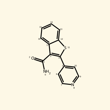 NC(=O)c1c(-c2ccncc2)sc2ccccc12